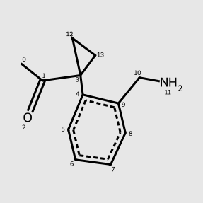 CC(=O)C1(c2ccccc2CN)CC1